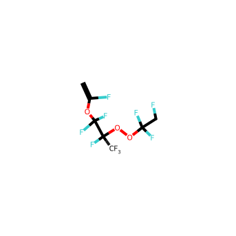 C=C(F)OC(F)(F)C(F)(OOC(F)(F)CF)C(F)(F)F